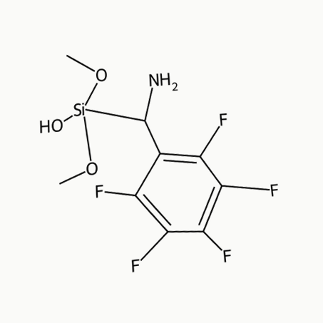 CO[Si](O)(OC)C(N)c1c(F)c(F)c(F)c(F)c1F